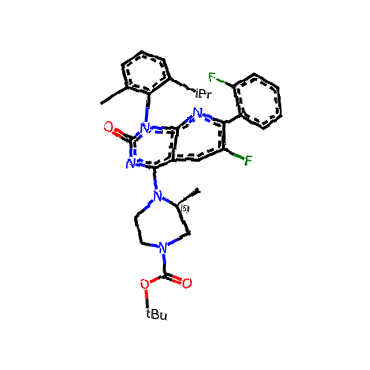 Cc1cccc(C(C)C)c1-n1c(=O)nc(N2CCN(C(=O)OC(C)(C)C)C[C@@H]2C)c2cc(F)c(-c3ccccc3F)nc21